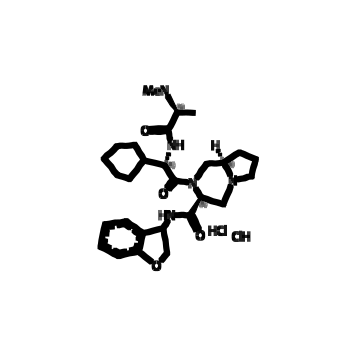 CN[C@@H](C)C(=O)N[C@H](C(=O)N1C[C@H]2CCCN2C[C@H]1C(=O)NC1COc2ccccc21)C1CCCCC1.Cl.Cl